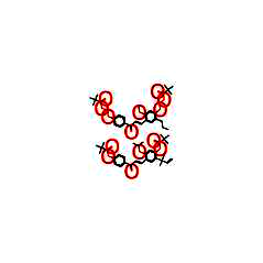 C=CC(C)(C)c1cc(/C=C/C(=O)c2ccc(OC(=O)C(C)(C)C)cc2)c(OC(C)C)cc1OC(=O)C(C)(C)C.CCCc1cc(/C=C/C(=O)c2ccc(OCOC(=O)C(C)(C)C)cc2)c(OC)cc1OCOC(=O)C(C)(C)C